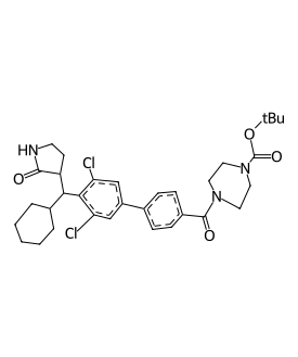 CC(C)(C)OC(=O)N1CCN(C(=O)c2ccc(-c3cc(Cl)c(C(C4CCCCC4)C4CCNC4=O)c(Cl)c3)cc2)CC1